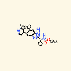 COc1cc2[nH]c([C@H](NC(=O)OC(C)(C)C)C3CCCC3)nc2cc1-c1ccncc1